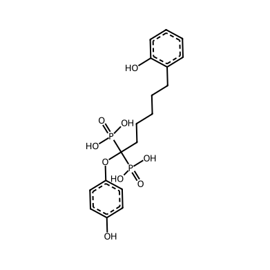 O=P(O)(O)C(CCCCCc1ccccc1O)(Oc1ccc(O)cc1)P(=O)(O)O